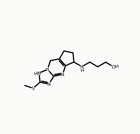 CSC1=NC2=NC3=C(CCC3NCCCO)CN2N1